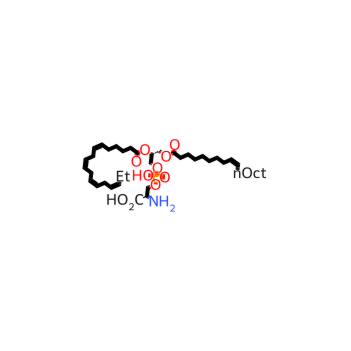 CC/C=C\C/C=C\C/C=C\C/C=C\CCCCC(=O)O[C@H](COC(=O)CCCCCCC/C=C\CCCCCCCC)COP(=O)(O)OC[C@H](N)C(=O)O